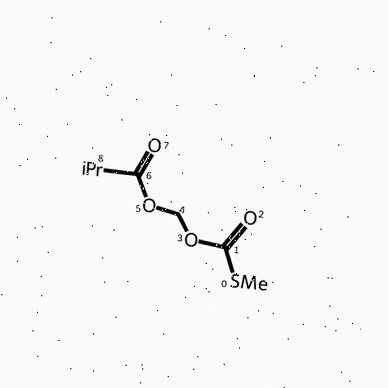 CSC(=O)OCOC(=O)C(C)C